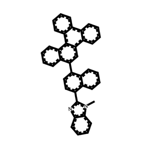 Cn1c(-c2ccc(-c3cc4c5ccccc5c5ccccc5c4c4ccccc34)c3ccccc23)nc2ccccc21